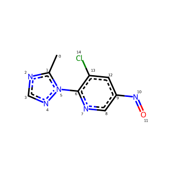 Cc1ncnn1-c1ncc(N=O)cc1Cl